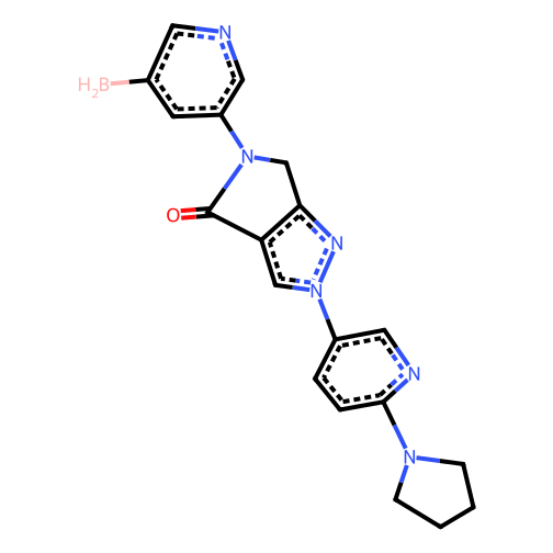 Bc1cncc(N2Cc3nn(-c4ccc(N5CCCC5)nc4)cc3C2=O)c1